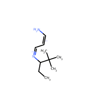 CCC(/N=C\C=C/N)C(C)(C)C